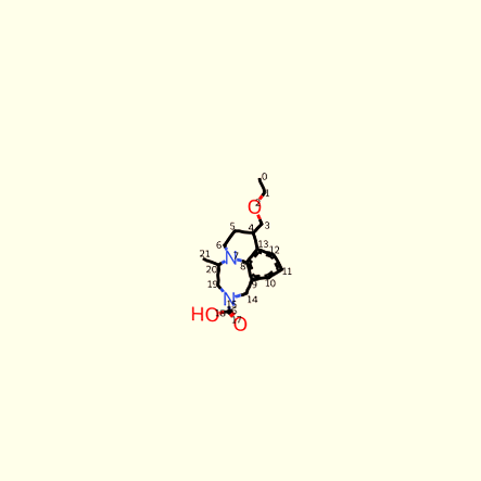 CCOCC1CCN2c3c(cccc31)CN(C(=O)O)CC2C